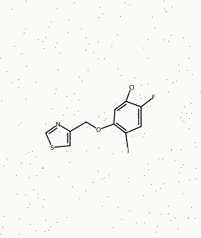 Fc1cc(I)c(OCc2cscn2)cc1Cl